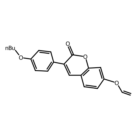 C=COc1ccc2cc(-c3ccc(OCCCC)cc3)c(=O)oc2c1